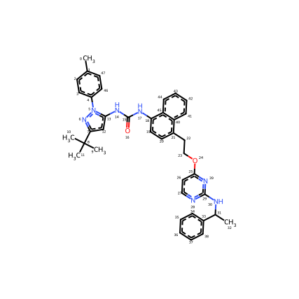 Cc1ccc(-n2nc(C(C)(C)C)cc2NC(=O)Nc2ccc(CCOc3ccnc(NC(C)c4ccccc4)n3)c3ccccc23)cc1